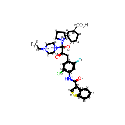 O=C(Nc1cc(F)c(CC(=O)C(O[C@H]2CC[C@H](C(=O)O)CC2)(N2CCCC2)N2CCN(CC(F)(F)F)CC2)cc1Cl)c1csc2ccccc12